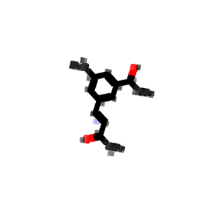 CNC(=O)c1cc(/C=C/C(=O)OC)cc(OC)c1